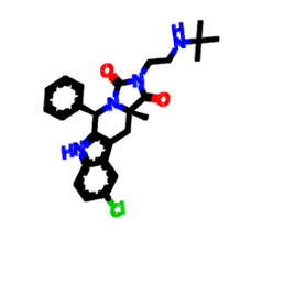 CC(C)(C)NCCN1C(=O)N2[C@H](c3ccccc3)c3[nH]c4ccc(Cl)cc4c3C[C@@]2(C)C1=O